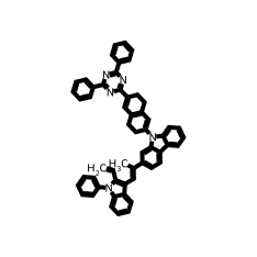 C=Cc1c(/C=C(\C)c2ccc3c4ccccc4n(C4=CC5=C(C=C(c6nc(-c7ccccc7)nc(-c7ccccc7)n6)CC5)CC4)c3c2)c2ccccc2n1-c1ccccc1